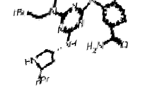 CCC[C@@H]1C[C@@H](Nc2nc(Nc3cc(C(N)=O)ccc3C)nc(N(C)CC(C)(C)C)n2)CN1